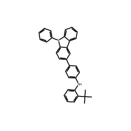 CC(C)(C)c1ccccc1Nc1ccc(-c2ccc3c(c2)c2ccccc2n3-c2ccccc2)cc1